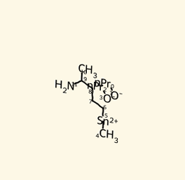 CCC[O-].CCC[O-].[CH3][Sn+2][CH2]CCC(C)N